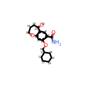 NC(=O)c1cc2c(cc1OCC1CCCCC1)OCCCC2=O